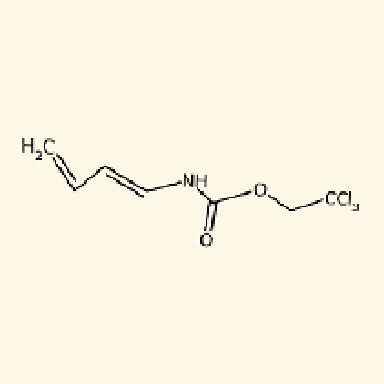 C=C/C=C/NC(=O)OCC(Cl)(Cl)Cl